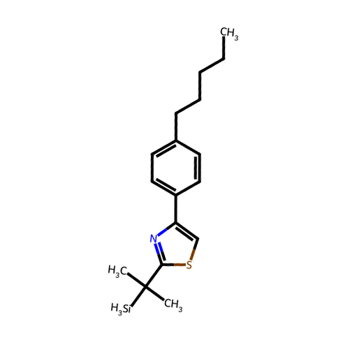 CCCCCc1ccc(-c2csc(C(C)(C)[SiH3])n2)cc1